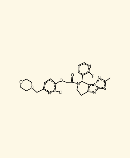 Cc1nn2c3c(nc2s1)CCN(C(=O)COc1ccc(CN2CCOCC2)nc1Cl)C3c1cccnc1F